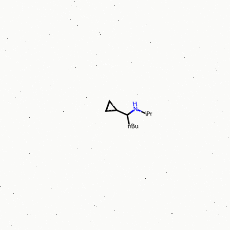 CCCCC(NC(C)C)C1CC1